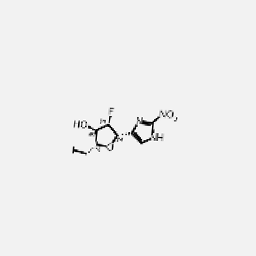 O=[N+]([O-])c1nc([C@@H]2O[C@H](CI)[C@@H](O)[C@H]2F)c[nH]1